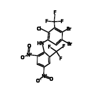 O=[N+]([O-])c1cc([N+](=O)[O-])c(Nc2cc(Br)c(Br)c(C(F)(F)F)c2Cl)c(C(F)(F)F)c1